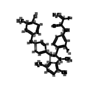 C=C(F)C(=O)Nc1ccc(-c2c(-c3ccc(Oc4ncc(Cl)c(C)n4)cc3)c3c(N)ncc(C#N)c3n2C)c(F)c1